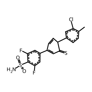 Cc1ccc(C2C=CC(c3cc(F)c(S(N)(=O)=O)c(F)c3)=CC2=S)cc1Cl